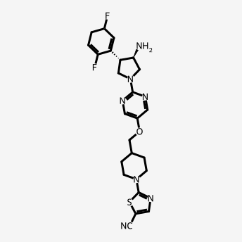 N#Cc1cnc(N2CCC(COc3cnc(N4C[C@H](C5=CC(F)CC=C5F)[C@@H](N)C4)nc3)CC2)s1